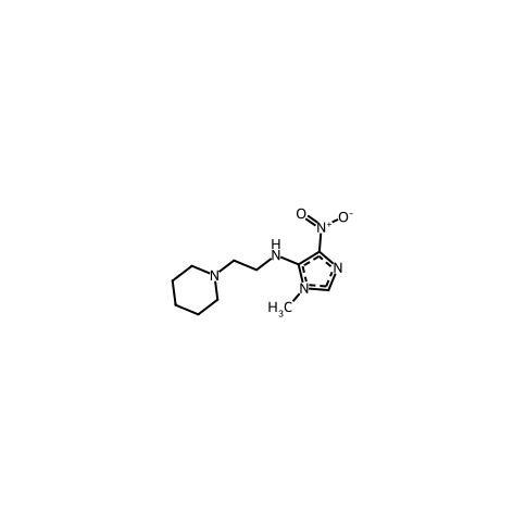 Cn1cnc([N+](=O)[O-])c1NCCN1CCCCC1